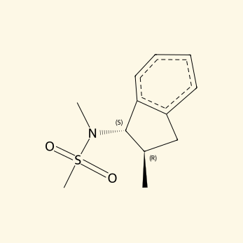 C[C@@H]1Cc2ccccc2[C@H]1N(C)S(C)(=O)=O